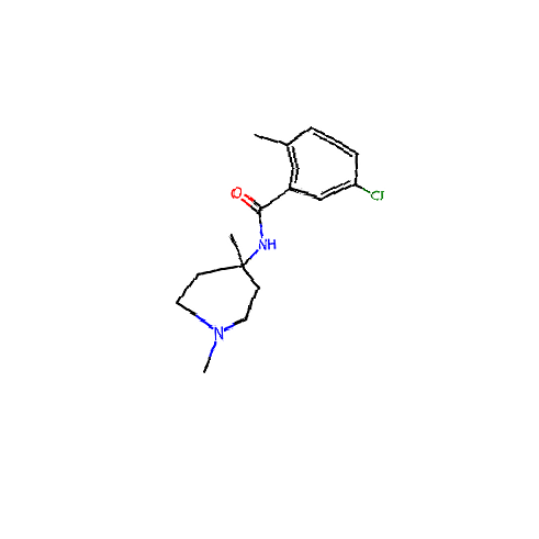 Cc1ccc(Cl)cc1C(=O)NC1(C)CCN(C)CC1